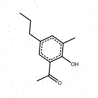 CCCc1cc(C)c(O)c(C(C)=O)c1